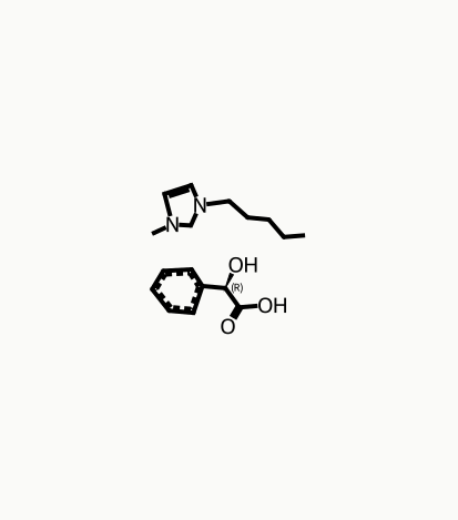 CCCCCN1C=CN(C)C1.O=C(O)[C@H](O)c1ccccc1